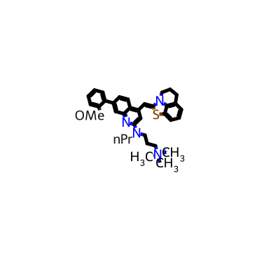 CCCN(CCC[N+](C)(C)C)c1cc(/C=C2\Sc3cccc4c3N2CCC4)c2ccc(-c3ccccc3OC)cc2n1